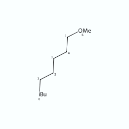 CCC(C)CCCCCOC